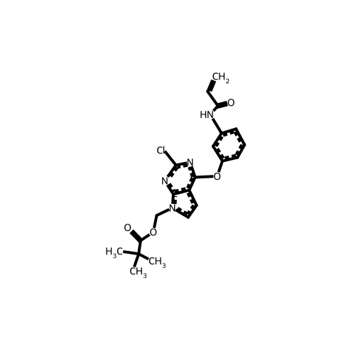 C=CC(=O)Nc1cccc(Oc2nc(Cl)nc3c2ccn3COC(=O)C(C)(C)C)c1